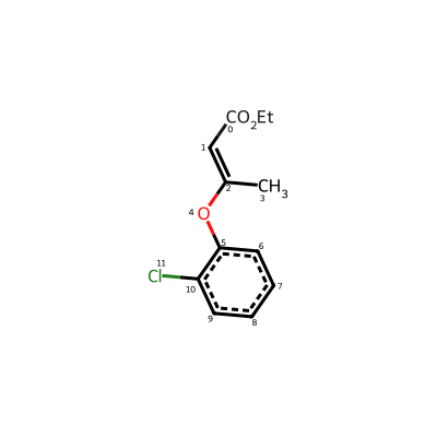 CCOC(=O)/C=C(\C)Oc1ccccc1Cl